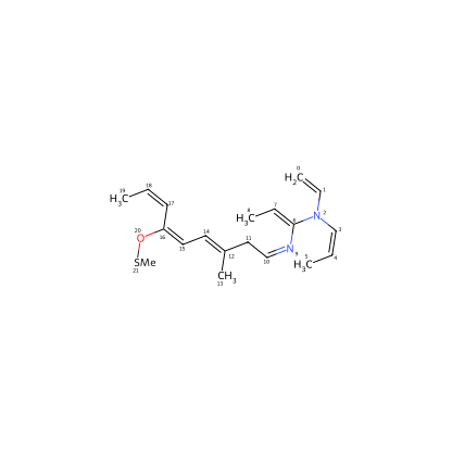 C=CN(/C=C\C)C(=C/C)/N=C\C/C(C)=C/C=C(\C=C/C)OSC